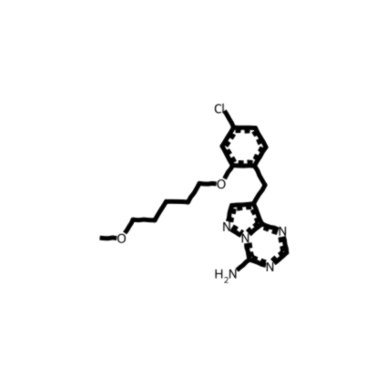 COCCCCCOc1cc(Cl)ccc1Cc1cnn2c(N)ncnc12